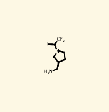 NCC1CCN(C(I)C(F)(F)F)C1